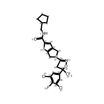 O=C(NCC1CCCC1)c1cc2c(s1)CN(C1=NOC(c3cc(Cl)c(F)c(Cl)c3)(C(F)(F)F)C1)C2